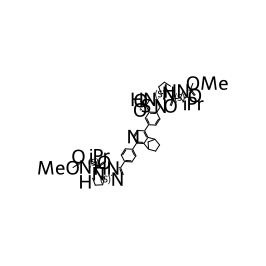 COC(=O)N[C@H](C(=O)N1CCC[C@H]1C1=Nc2ccc(-c3cnc(-c4ccc(-c5cnc([C@@H]6CCCN6C(=O)[C@@H](NC(=O)OC)C(C)C)[nH]5)cc4)c4c3C3CCC4C3)cc2S(=O)(=O)N1)C(C)C